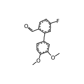 COc1ccc(-c2cc(F)ccc2C=O)cc1OC